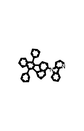 c1ccc(-c2c3c(c(-c4ccccc4)c4ccccc24)-c2ccc(-n4c5ccccc5c5ncccc54)c4cccc-3c24)cc1